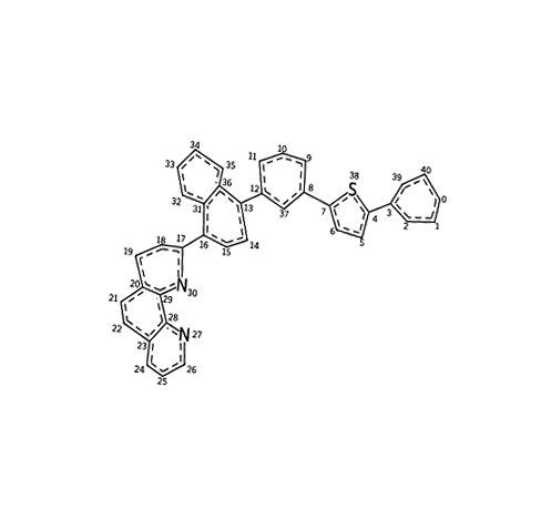 c1ccc(-c2ccc(-c3cccc(-c4ccc(-c5ccc6ccc7cccnc7c6n5)c5ccccc45)c3)s2)cc1